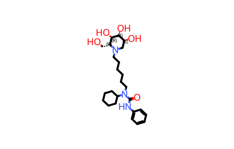 O=C(Nc1ccccc1)N(CCCCCCN1C[C@H](O)[C@@H](O)[C@H](O)[C@H]1CO)C1CCCCC1